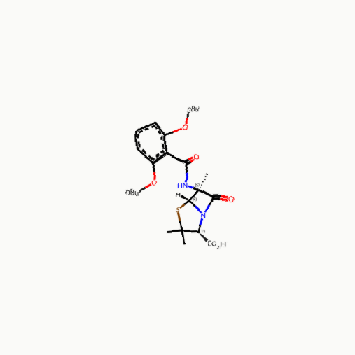 CCCCOc1cccc(OCCCC)c1C(=O)N[C@@]1(C)C(=O)N2[C@@H](C(=O)O)C(C)(C)S[C@@H]21